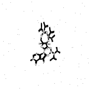 CC(C)N(C(C)C)P(O)O[C@@H]1[C@@H]2O[Si](C(C)C)(C(C)C)O[Si](C(C)C)(C(C)C)OC[C@H]2O[C@H]1n1cc(F)c2c(=O)n(C)cnc21